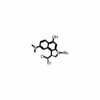 CC[C@@H](Cl)[C@@H]1CN(C(C)(C)C)c2cc(O)c3ccc(N(C)C)cc3c21